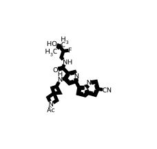 CC(=O)N1CC2(CC(Nc3cc(-c4ccc5cc(C#N)cnn45)ncc3C(=O)NCC(F)C(C)(C)O)C2)C1